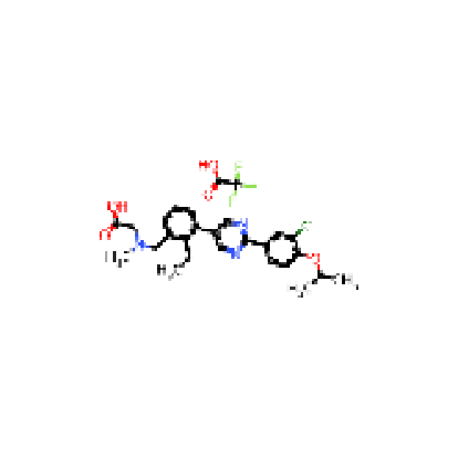 CCc1c(CN(C)CC(=O)O)cccc1-c1cnc(-c2ccc(OC(C)C)c(Cl)c2)nc1.O=C(O)C(F)(F)F